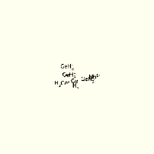 [GeH3-].[GeH3-].[GeH3-].[GeH3-].[GeH3-].[Nb+5]